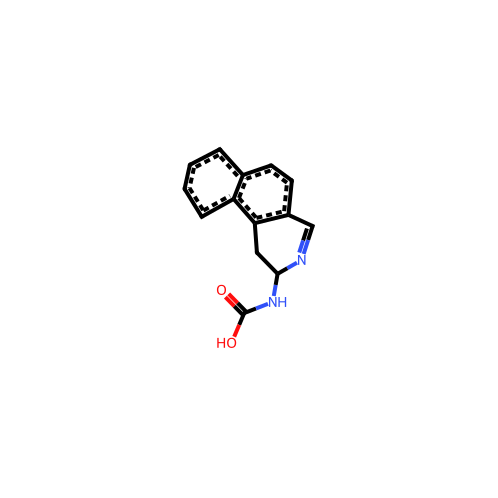 O=C(O)NC1Cc2c(ccc3ccccc23)C=N1